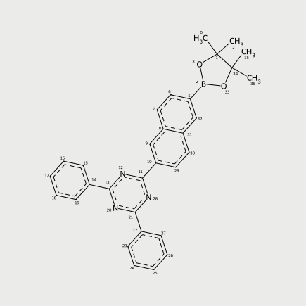 CC1(C)OB(c2ccc3cc(-c4nc(-c5ccccc5)nc(-c5ccccc5)n4)ccc3c2)OC1(C)C